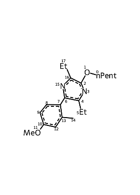 CCCCCOc1nc(CC)c(-c2ccc(OC)cc2C)nc1CC